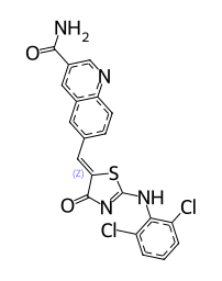 NC(=O)c1cnc2ccc(/C=C3\SC(Nc4c(Cl)cccc4Cl)=NC3=O)cc2c1